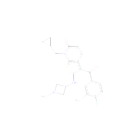 Cc1cc(C(=O)c2c(NC3CN(C)C3)sc3c2ccc(=O)n3CC2CC2)ccc1F